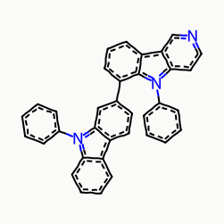 c1ccc(-n2c3ccccc3c3ccc(-c4cccc5c6cnccc6n(-c6ccccc6)c45)cc32)cc1